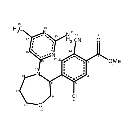 COC(=O)c1cc(Cl)c(C2COCCCN2c2cc(C)nc(N)n2)cc1C#N